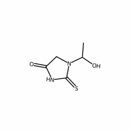 CC(O)N1CC(=O)NC1=S